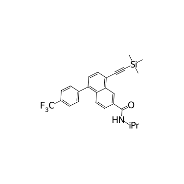 CC(C)NC(=O)c1ccc2c(-c3ccc(C(F)(F)F)cc3)ccc(C#C[Si](C)(C)C)c2c1